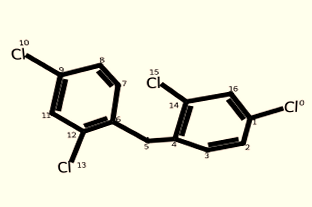 Clc1ccc([CH]c2ccc(Cl)cc2Cl)c(Cl)c1